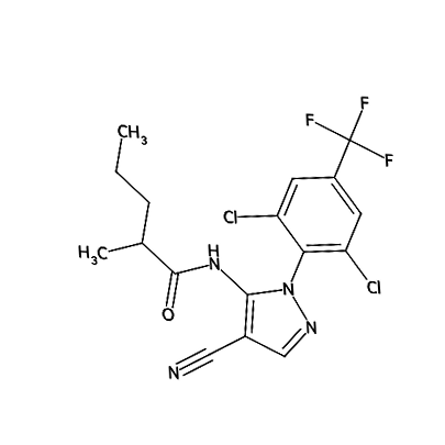 CCCC(C)C(=O)Nc1c(C#N)cnn1-c1c(Cl)cc(C(F)(F)F)cc1Cl